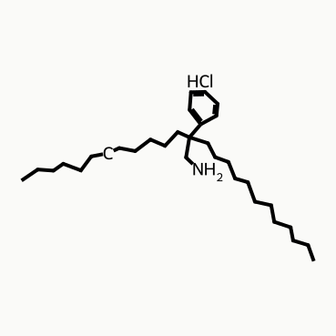 CCCCCCCCCCCCC(CN)(CCCCCCCCCCCC)c1ccccc1.Cl